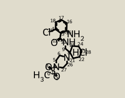 CS(=O)(=O)N1CCN(C2(CNC(=O)c3c(N)cccc3Cl)CCCCC2)CC1.Cl